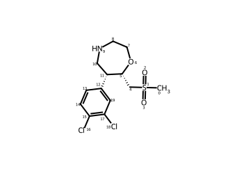 CS(=O)(=O)C[C@H]1OCCNC[C@H]1c1ccc(Cl)c(Cl)c1